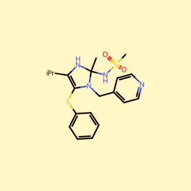 CC(C)C1=C(Sc2ccccc2)N(Cc2ccncc2)C(C)(NS(C)(=O)=O)N1